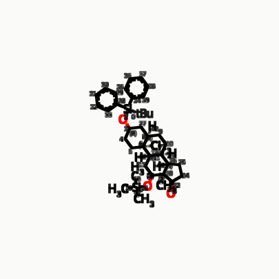 CC(C)(C)[Si](O[C@@H]1CC[C@@]2(C)[C@H](CC[C@@H]3[C@@H]2C[C@H](O[Si](C)(C)C)[C@]2(C)C(=O)CC[C@@H]32)C1)(c1ccccc1)c1ccccc1